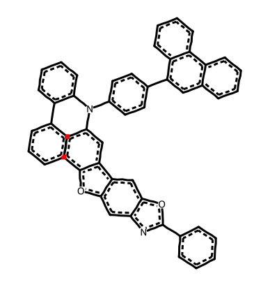 c1ccc(-c2nc3cc4oc5ccc(N(c6ccc(-c7cc8ccccc8c8ccccc78)cc6)c6ccccc6-c6ccccc6)cc5c4cc3o2)cc1